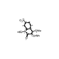 CCCCn1c(=O)c(OC(C)C)c(OC)c2ccc([N+](=O)[O-])cc21